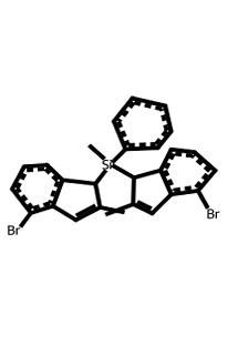 CC1=Cc2c(Br)cccc2C1[Si](C)(c1ccccc1)C1C(C)=Cc2c(Br)cccc21